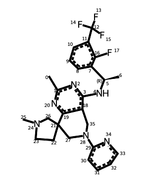 Cc1nc(N[C@H](C)c2cccc(C(F)(F)F)c2F)c2c(n1)C1(CCN(C)C1)CN(c1ccccn1)C2